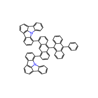 c1ccc(-c2c3ccccc3c(-c3c4cccc(-c5cccc6c7cccc8c9ccccc9n(c56)c87)c4cc4c(-c5cccc6c7cccc8c9ccccc9n(c56)c87)cccc34)c3ccccc23)cc1